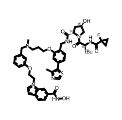 Cc1ncsc1-c1ccc(CNC(=O)[C@@H]2C[C@@H](O)CN2C(=O)[C@@H](NC(=O)C2(F)CC2)C(C)(C)C)c(OCCCN(C)Cc2cccc(OCCn3ccc4ccc(C(=O)NO)cc43)c2)c1